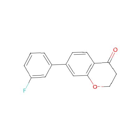 O=C1CCOc2cc(-c3cccc(F)c3)ccc21